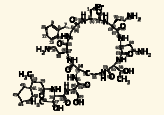 CC(C)C[C@@H]1NC(=O)[C@@H](Cc2ccccc2)NC(=O)[C@H](CCN)NC(=O)[C@@H](NC(=O)[C@@H](CO)NC(=O)C(NC(=O)CC(C)C2CCCCC2)C(C)O)CCNC(=O)C(C(C)O)NC(=O)[C@H](CCN)NC(=O)[C@H](CCN)NC1=O